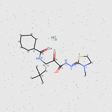 CN1CCS/C1=N\NC(=O)C(=O)[C@H](CC(C)(C)C)NC(=O)C1CCCCCC1.Cl